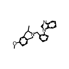 COc1ccc2c(c1)CC(C)N(Cc1ccccc1-n1cnc3ccccc31)C2